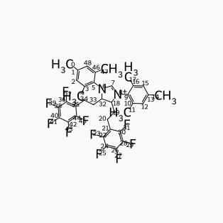 Cc1cc(C)c(N2C=[N+](c3c(C)cc(C)cc3C)C(CCc3c(F)c(F)c(F)c(F)c3F)C2CCc2c(F)c(F)c(F)c(F)c2F)c(C)c1